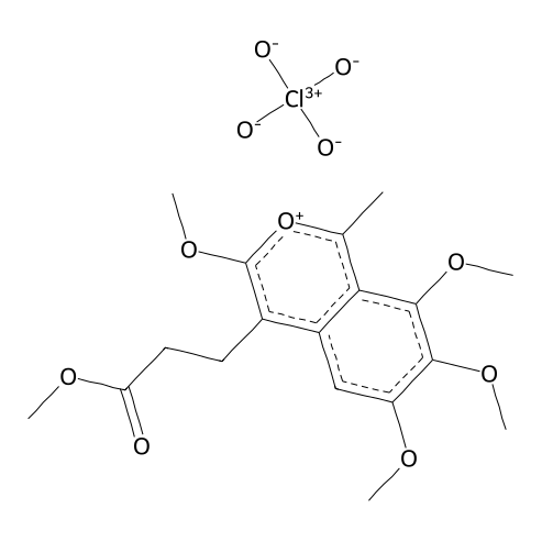 COC(=O)CCc1c(OC)[o+]c(C)c2c(OC)c(OC)c(OC)cc12.[O-][Cl+3]([O-])([O-])[O-]